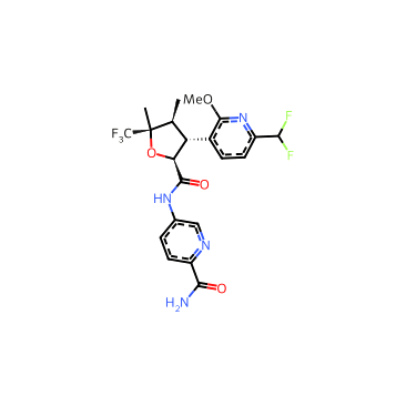 COc1nc(C(F)F)ccc1[C@@H]1[C@@H](C(=O)Nc2ccc(C(N)=O)nc2)O[C@@](C)(C(F)(F)F)[C@H]1C